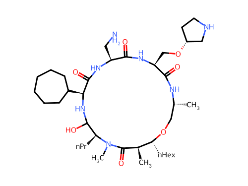 CCCCCC[C@H]1OC[C@@H](C)NC(=O)[C@H](CO[C@@H]2CCNC2)NC(=O)[C@H](CN)NC(=O)[C@H](C2CCCCCC2)NC(O)[C@H](CCC)N(C)C(=O)[C@@H]1C